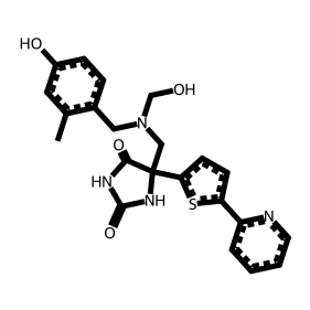 Cc1cc(O)ccc1CN(CO)CC1(c2ccc(-c3ccccn3)s2)NC(=O)NC1=O